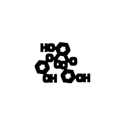 O=C(Oc1cccc(O)c1)c1cccc(O)c1C(=O)Oc1cccc(O)c1